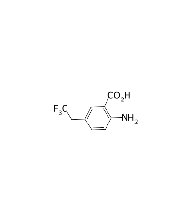 Nc1ccc(CC(F)(F)F)cc1C(=O)O